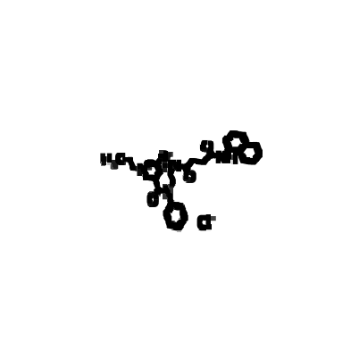 CCC[n+]1cc(Br)cc(C(=O)N(CCNC(=O)CCC(=O)Nc2cccc3ccccc23)c2ccccc2)c1.[Cl-]